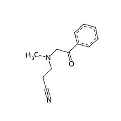 CN(CCC#N)CC(=O)c1ccccc1